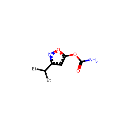 CCC(CC)c1cc(OC(N)=O)on1